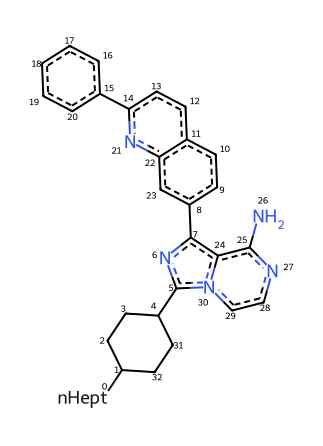 CCCCCCCC1CCC(c2nc(-c3ccc4ccc(-c5ccccc5)nc4c3)c3c(N)nccn23)CC1